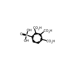 O=C(O)c1ccc(P(=O)(O)O)c(C(=O)O)c1C(=O)O